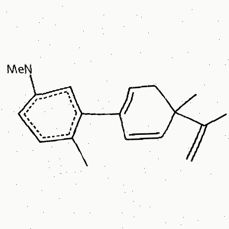 C=C(C)C1(C)C=CC(c2cc(NC)ccc2C)=CC1